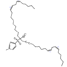 [C-]#[N+]C(CCCCCCCC/C=C\C/C=C\CCCCC)(CCCCCCCC/C=C\C/C=C\CCCCC)S(=O)(=O)c1ccc(C)cc1